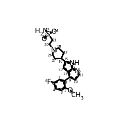 COc1ccc(F)cc1-c1ccnc2[nH]c(C3CCN(CCS(N)(=O)=O)CC3)cc12